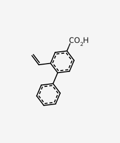 C=Cc1cc(C(=O)O)ccc1-c1ccccc1